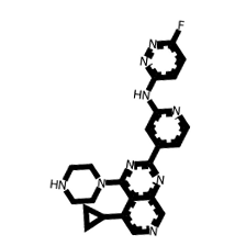 Fc1ccc(Nc2cc(-c3nc(N4CCNCC4)c4c(C5CC5)cncc4n3)ccn2)nn1